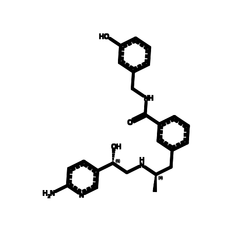 C[C@H](Cc1cccc(C(=O)NCc2cccc(O)c2)c1)NC[C@@H](O)c1ccc(N)nc1